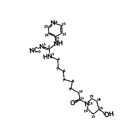 N#C/N=C(\NCCCCCCCC(=O)N1CCC(O)CC1)Nc1ccncc1